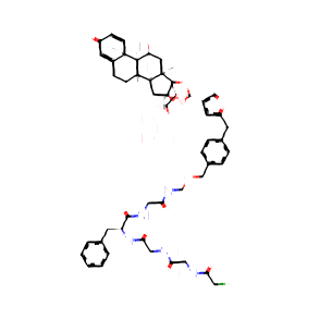 C[C@]12C=CC(=O)C=C1CC[C@@H]1[C@@H]2[C@@H](O)C[C@@]2(C)[C@H]1C[C@H]1O[C@@H](c3coc(Cc4ccc(COCNC(=O)CNC(=O)[C@H](Cc5ccccc5)NC(=O)CNC(=O)CNC(=O)CBr)cc4)c3)O[C@]12C(=O)COP(=O)(O)O